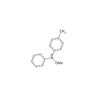 CO[SiH](c1ccccc1)c1ccc(C)cc1